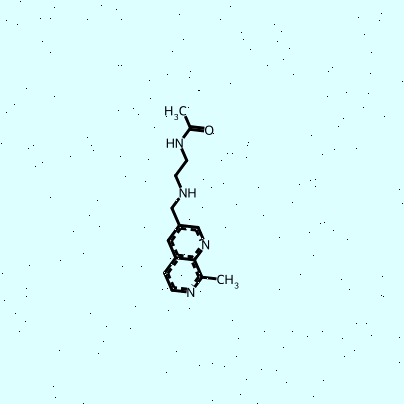 CC(=O)NCCNCc1cnc2c(C)nccc2c1